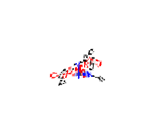 O=C(/C=C\C(=O)OC(CNCCc1ccccc1)COc1cccc2c(=O)cc(-c3ccccc3)oc12)OC(CNCCc1ccccc1)COc1cccc2c(=O)cc(-c3ccccc3)oc12